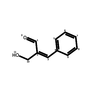 O=CC(=Cc1ccccc1)CO